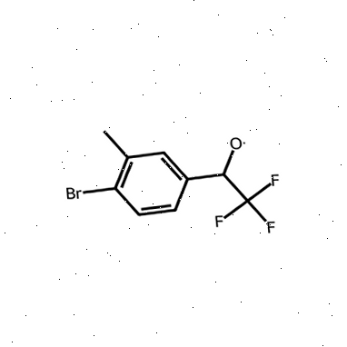 Cc1cc(C([O])C(F)(F)F)ccc1Br